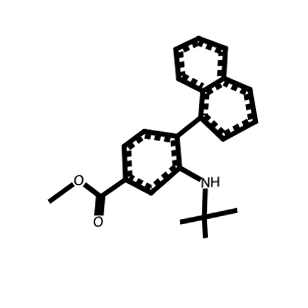 COC(=O)c1ccc(-c2cccc3ccccc23)c(NC(C)(C)C)c1